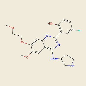 COCCOc1cc2nc(-c3cc(F)ccc3O)nc(N[C@H]3CCNC3)c2cc1OC